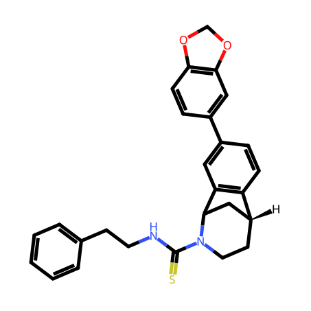 S=C(NCCc1ccccc1)N1CC[C@@H]2CC1c1cc(-c3ccc4c(c3)OCO4)ccc12